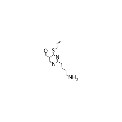 C=CCSC1N=C(CCCCN)N=CC1C=O